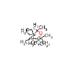 C=C[Si]1(C=C)C(C)(C)O[Si](C)(C)[Si](C)(C)[Si]1(C)C=C